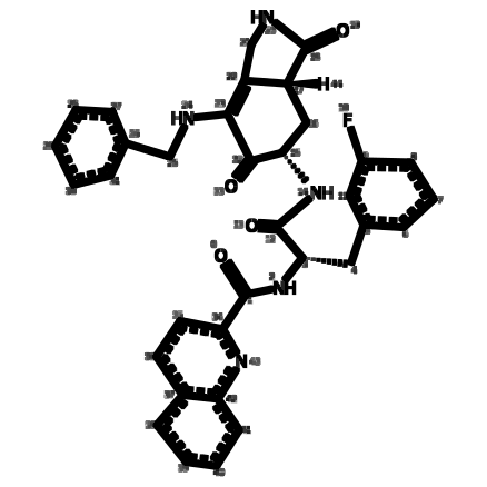 O=C(N[C@@H](Cc1cccc(F)c1)C(=O)N[C@H]1C[C@H]2C(=O)NCC2=C(NCc2ccccc2)C1=O)c1ccc2ccccc2n1